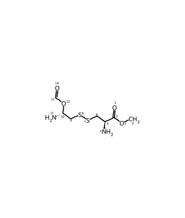 COC(=O)[C@@H](N)CSSC[C@H](N)OC=O